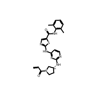 C=CC(=O)N1CC[C@@H](Nc2nccc(Nc3ncc(C(=O)Nc4c(C)cccc4C)s3)n2)C1